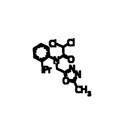 Cc1nnc(CN(C(=O)C(Cl)Cl)c2ccccc2C(C)C)o1